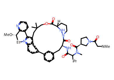 CCn1c(-c2cccnc2[C@H](C)OC)c2c3cc(ccc31)-c1cccc(c1)C[C@H](NC(=O)C(C(C)C)N(C)C(=O)[C@H]1CCN(C(=O)CNC)C1)C(=O)N1CCC[C@H](N1)C(=O)OCC(C)(C)C2